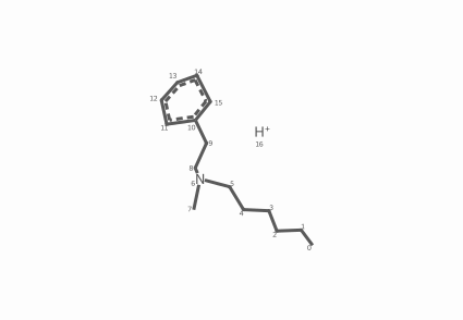 CCCCCCN(C)CCc1ccccc1.[H+]